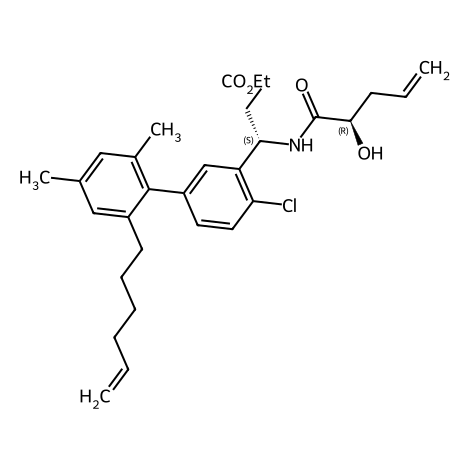 C=CCCCCc1cc(C)cc(C)c1-c1ccc(Cl)c([C@H](CC(=O)OCC)NC(=O)[C@H](O)CC=C)c1